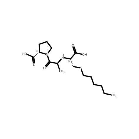 CCCCCCSC[C@H](NC(C)C(=O)N1CCC[C@H]1C(=O)O)C(=O)O